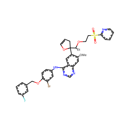 CCC(OCCS(=O)(=O)c1ccccn1)C1(c2cc3c(Nc4ccc(OCc5cccc(F)c5)c(Br)c4)ncnc3cc2OC)CC=CO1